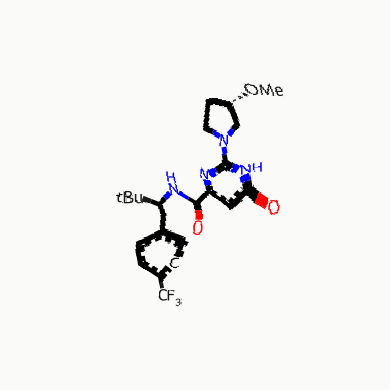 CO[C@H]1CCN(c2nc(C(=O)NC(c3ccc(C(F)(F)F)cc3)C(C)(C)C)cc(=O)[nH]2)C1